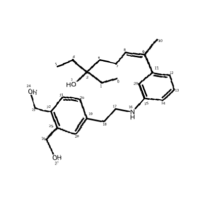 CCC(O)(CC)CC/C=C(/C)c1cccc(NCCc2ccc(CO)c(CO)c2)c1